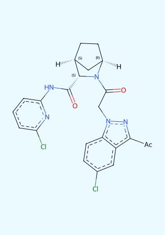 CC(=O)c1nn(CC(=O)N2[C@@H]3CC[C@@H](C3)[C@H]2C(=O)Nc2cccc(Cl)n2)c2ccc(Cl)cc12